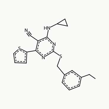 CCc1cccc(CSc2nc(NC3CC3)c(C#N)c(-c3cccs3)n2)c1